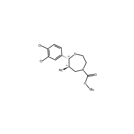 CC(C)(C)OC(=O)N1CCO[C@@H](c2ccc(Cl)c(Cl)c2)[C@H](C#N)C1